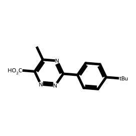 Cc1nc(-c2ccc(C(C)(C)C)cc2)nnc1C(=O)O